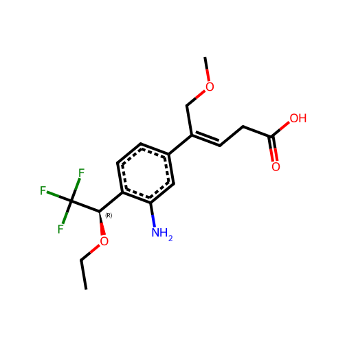 CCO[C@H](c1ccc(C(=CCC(=O)O)COC)cc1N)C(F)(F)F